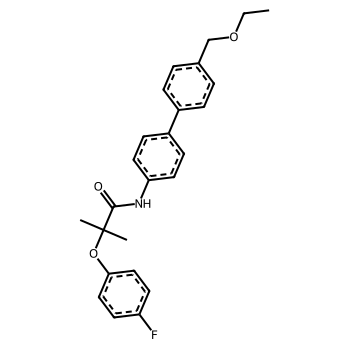 CCOCc1ccc(-c2ccc(NC(=O)C(C)(C)Oc3ccc(F)cc3)cc2)cc1